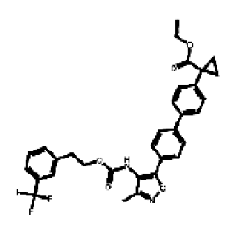 CCOC(=O)C1(c2ccc(-c3ccc(-c4onc(C)c4NC(=O)OCCc4cccc(C(F)(F)F)c4)cc3)cc2)CC1